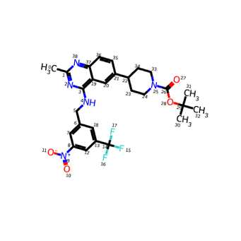 Cc1nc(NCc2cc([N+](=O)[O-])cc(C(F)(F)F)c2)c2cc(C3CCN(C(=O)OC(C)(C)C)CC3)ccc2n1